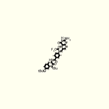 CC(C)(C)OC(=O)[C@H](Cc1ccc(OC(C)(C)C)cc1)NC(=O)c1ccc(N(Cc2cnc3nc(N)[nH]c(=O)c3n2)C(=O)C(F)(F)F)cc1